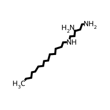 CCCCCCCCCCCCCCNCCC(N)CCN